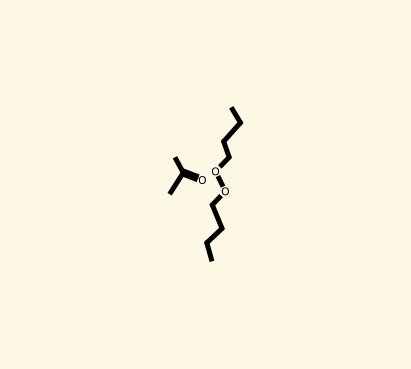 CC(C)=O.CCCCOOCCCC